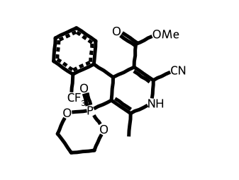 COC(=O)C1=C(C#N)NC(C)=C(P2(=O)OCCCO2)C1c1ccccc1C(F)(F)F